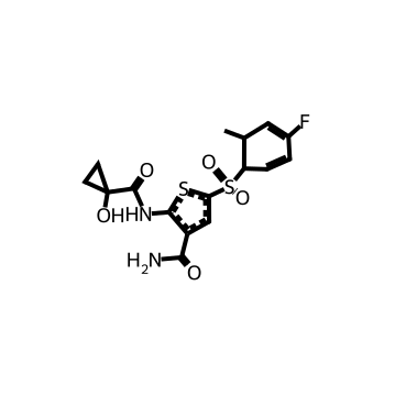 CC1C=C(F)C=CC1S(=O)(=O)c1cc(C(N)=O)c(NC(=O)C2(O)CC2)s1